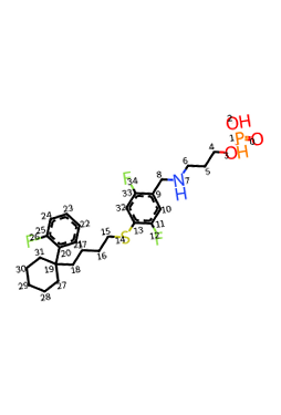 O=[PH](O)OCCCNCc1cc(F)c(SCCCCC2(c3ccccc3F)CCCCC2)cc1F